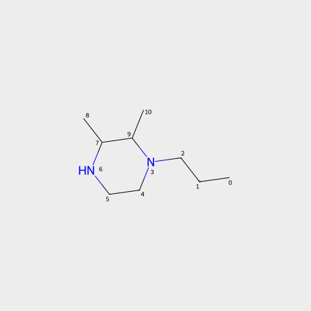 CCCN1CCNC(C)C1C